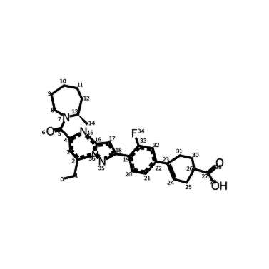 CCc1cc(C(=O)N2CCCCC[C@H]2C)nc2cc(-c3ccc(C4=CCC(C(=O)O)CC4)cc3F)nn12